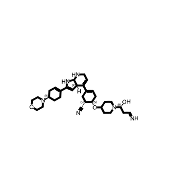 N#C[C@@H]1CC(C2=CCNC3NC(C4=CC[C@H](N5CCOCC5)CC4)=C[C@H]23)=CC[C@@H]1OC1CCN([C@H](O)CC=N)CC1